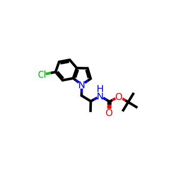 CC(Cn1ccc2ccc(Cl)cc21)NC(=O)OC(C)(C)C